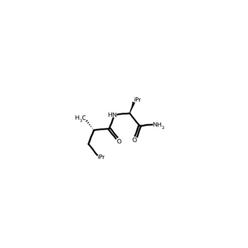 CC(C)C[C@H](C)C(=O)N[C@H](C(N)=O)C(C)C